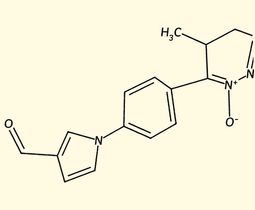 CC1CC=N[N+]([O-])=C1c1ccc(-n2ccc(C=O)c2)cc1